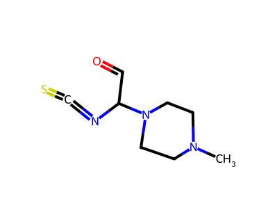 CN1CCN(C(C=O)N=C=S)CC1